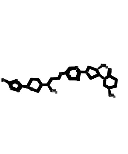 CC(C)c1noc(N2CCC([C@H](C)CCOc3cnc(N4C[C@H](N)[C@@H](N5C[C@H](C)CCC5=O)C4)nc3)CC2)n1